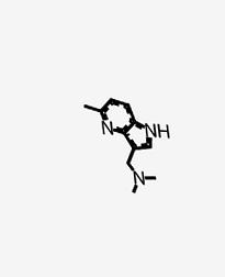 Cc1ccc2[nH]cc(CN(C)C)c2n1